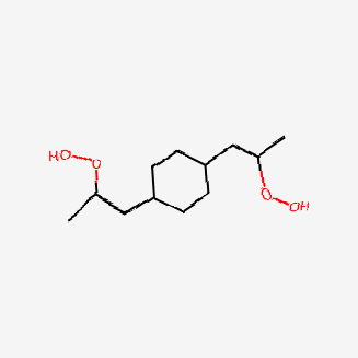 CC(CC1CCC(CC(C)OO)CC1)OO